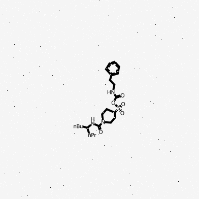 CCCCC(CCC)NC(=O)N1CCC(S(=O)(=O)OC(=O)NCCc2ccccc2)CC1